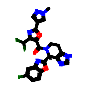 Cn1cc(-c2nc(C(F)F)c(C(=O)N3CCc4[nH]cnc4[C@H]3c3nc4cc(F)ccc4o3)o2)cn1